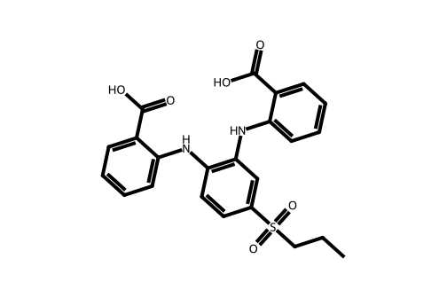 CCCS(=O)(=O)c1ccc(Nc2ccccc2C(=O)O)c(Nc2ccccc2C(=O)O)c1